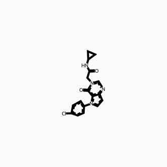 O=C(Cn1cnc2ccn(-c3ccc(Cl)cc3)c2c1=O)NC1CC1